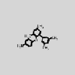 Cc1cc(C)cc(-c2cc(C)cc(C)c2Oc2ccc(N)cc2)c1